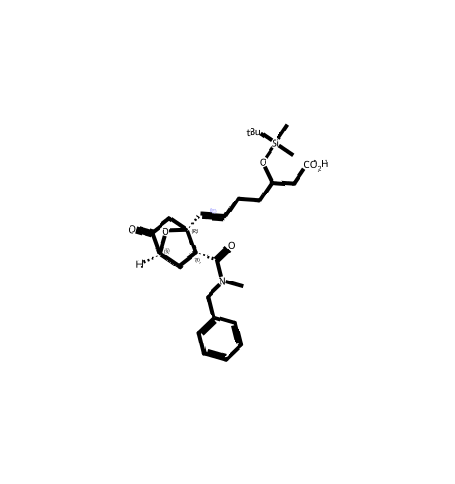 CN(Cc1ccccc1)C(=O)[C@@H]1C[C@@H]2O[C@@]1(/C=C/CCC(CC(=O)O)O[Si](C)(C)C(C)(C)C)CC2=O